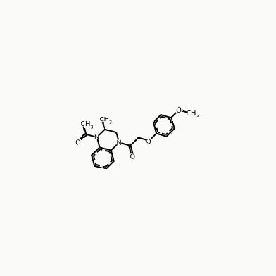 COc1ccc(OCC(=O)N2C[C@H](C)N(C(C)=O)c3ccccc32)cc1